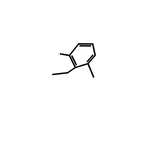 [CH2]c1cccc(C)c1CC